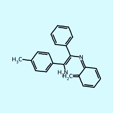 C=C1C=CC=C/C1=N/C(=C(\N)c1ccc(C)cc1)c1ccccc1